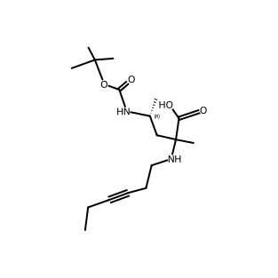 CCC#CCCNC(C)(C[C@@H](C)NC(=O)OC(C)(C)C)C(=O)O